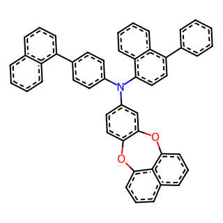 c1ccc(-c2ccc(N(c3ccc(-c4cccc5ccccc45)cc3)c3ccc4c(c3)Oc3cccc5cccc(c35)O4)c3ccccc23)cc1